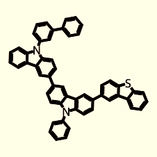 c1ccc(-c2cccc(-n3c4ccccc4c4cc(-c5ccc6c(c5)c5cc(-c7ccc8sc9ccccc9c8c7)ccc5n6-c5ccccc5)ccc43)c2)cc1